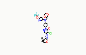 O=c1c(Cl)c(NC[C@@H]2COCC3C[C@H]32)cnn1[C@H]1CC[C@H](N(C[C@H]2COCCO2)c2ccc(OC(F)(F)F)nc2)CC1